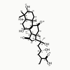 CC(C[C@@H](O)C[C@](C)(O)[C@H]1CC(=O)[C@@]2(C)C3=C(C(=O)C[C@]12C)[C@@]1(C)CC[C@H](O)C(C)(C)[C@@H]1C[C@@H]3O)C(=O)O